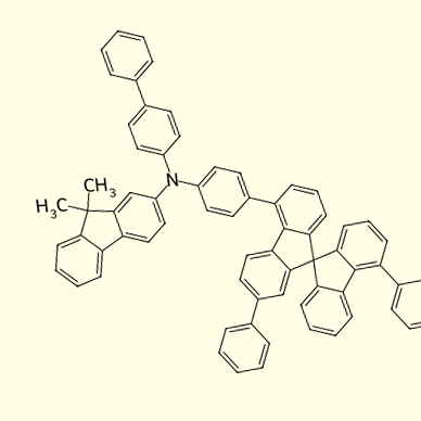 CC1(C)c2ccccc2-c2ccc(N(c3ccc(-c4ccccc4)cc3)c3ccc(-c4cccc5c4-c4ccc(-c6ccccc6)cc4C54c5ccccc5-c5c(-c6ccccc6)cccc54)cc3)cc21